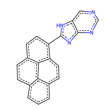 c1cc2ccc3ccc(-c4nc5ncncc5[nH]4)c4ccc(c1)c2c34